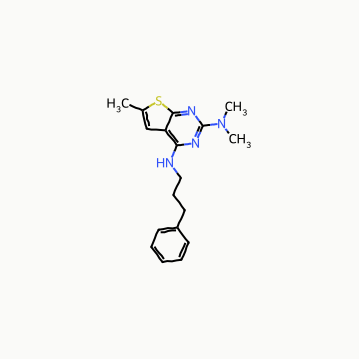 Cc1cc2c(NCCCc3ccccc3)nc(N(C)C)nc2s1